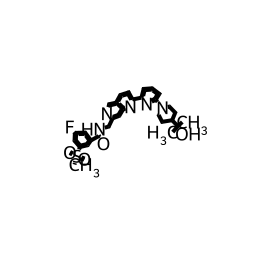 CC(C)(O)C1CCN(c2cccc(-c3ccc4cnc(CNC(=O)c5cc(F)cc(S(C)(=O)=O)c5)cc4n3)n2)CC1